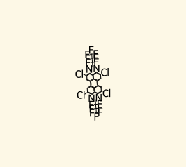 FC(F)(F)C(F)(F)C(F)(F)c1nc2c(Cl)cc3c4cc(Cl)c5nc(C(F)(F)C(F)(F)C(F)(F)F)nc6c(Cl)cc(c7cc(Cl)c(n1)c2c37)c4c56